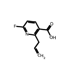 C=CCc1nc(F)ccc1C(=O)O